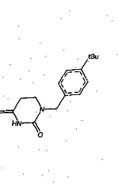 CC(C)(C)c1ccc(CN2CCC(=O)NC2=O)cc1